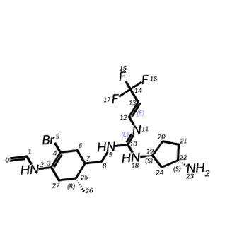 C=CNC1=C(Br)CC(CN/C(=N\C=C\C(F)(F)F)N[C@H]2CC[C@H](N)C2)[C@H](C)C1